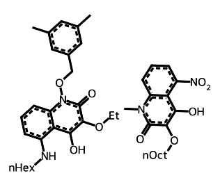 CCCCCCCCOc1c(O)c2c([N+](=O)[O-])cccc2n(C)c1=O.CCCCCCNc1cccc2c1c(O)c(OCC)c(=O)n2OCc1cc(C)cc(C)c1